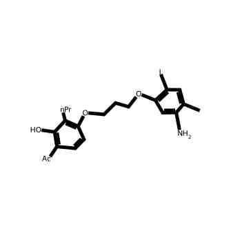 CCCc1c(OCCCOc2cc(N)c(C)cc2I)ccc(C(C)=O)c1O